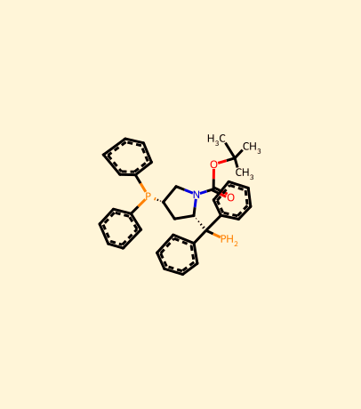 CC(C)(C)OC(=O)N1C[C@@H](P(c2ccccc2)c2ccccc2)C[C@H]1C(P)(c1ccccc1)c1ccccc1